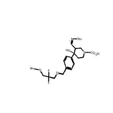 CC(C)OCC(F)(F)COCc1ccc(C2(O)CCN(C(=O)O)CC2/C=N\O)cc1